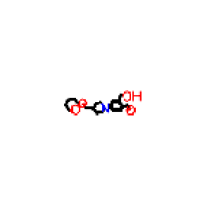 O=Cc1ccc(N2CCC(COC3CCCCO3)CC2)cc1CO